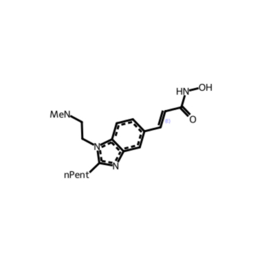 CCCCCc1nc2cc(/C=C/C(=O)NO)ccc2n1CCNC